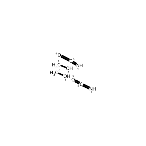 CO.CO.N=C=O.N=C=O